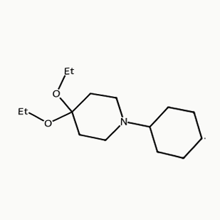 CCOC1(OCC)CCN(C2CC[CH]CC2)CC1